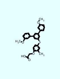 COc1cccc(-c2cc(Sc3ccc(OCC(=O)O)c(C)c3)cc(-c3cccc(OC)c3)c2)c1